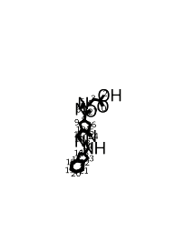 O=C(O)Cc1nnc(C2Cc3cnc(NC4Cc5ccccc5C4)nc3C2)o1